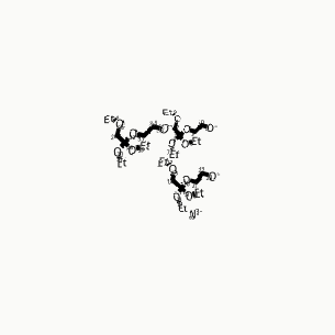 CCOCC(OCC)(OCC)OCC[O-].CCOCC(OCC)(OCC)OCC[O-].CCOCC(OCC)(OCC)OCC[O-].[Al+3]